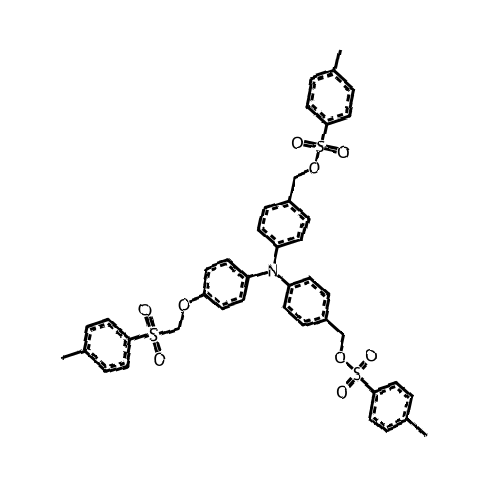 Cc1ccc(S(=O)(=O)COc2ccc(N(c3ccc(COS(=O)(=O)c4ccc(C)cc4)cc3)c3ccc(COS(=O)(=O)c4ccc(C)cc4)cc3)cc2)cc1